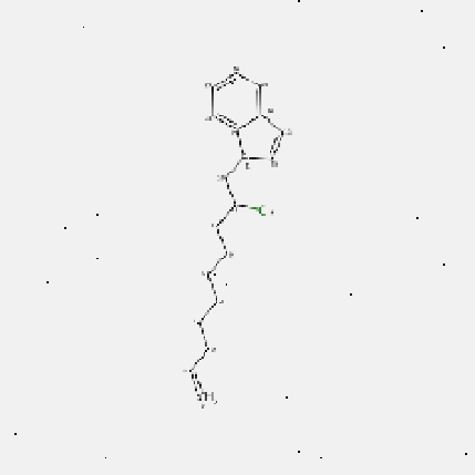 C=CCCCCCCC(Cl)CC1C=Cc2ccccc21